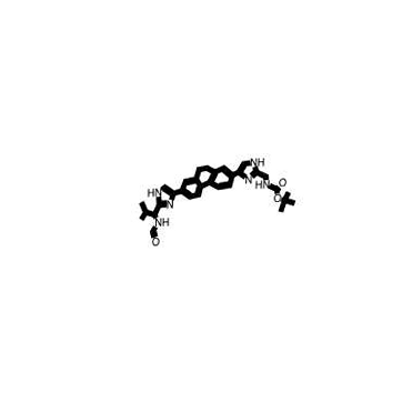 CC(C)C(NC=O)c1nc(-c2ccc3c(c2)CCc2cc(-c4c[nH]c(CNC(=O)OC(C)(C)C)n4)ccc2-3)c[nH]1